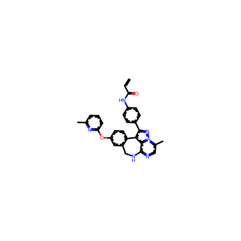 C=CC(=O)Nc1ccc(-c2nn3c(C)cnc4c3c2-c2ccc(Oc3cccc(C)n3)cc2CN4)cc1